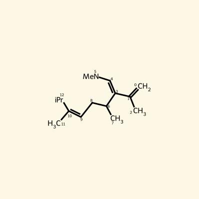 C=C(C)/C(=C/NC)C(C)C/C=C(/C)C(C)C